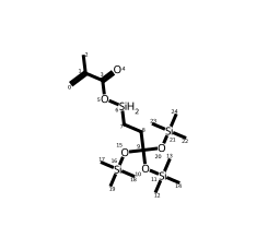 C=C(C)C(=O)O[SiH2]CCC(O[Si](C)(C)C)(O[Si](C)(C)C)O[Si](C)(C)C